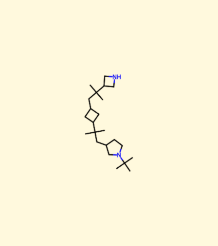 CC(C)(CC1CC(C(C)(C)CC2CCN(C(C)(C)C)C2)C1)C1CNC1